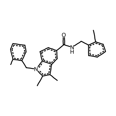 Cc1ccccc1CNC(=O)c1ccc2c(c1)c(C)c(C)n2Cc1ccccc1C